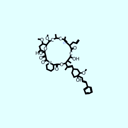 C=CCC1/C=C(\C)CC(C)CC(OC)C2OC(O)(C(=O)C(=O)N3CCCCC3C(=O)OC(C(C)=CC3CCC(O)(CC=Cc4ccccc4)C(OC)C3)C(C)C(O)CC1=O)C(C)CC2OC